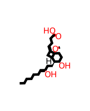 CCCCCCC=C(O)CC[C@@H]1[C@@H](O)CC[C@@]2(OC)C(=CCCC(=O)O)C[C@@H]12